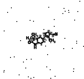 CC[C@@]1(C)C(=O)Nc2ccc(-c3ccc(C#N)n3C)cc21